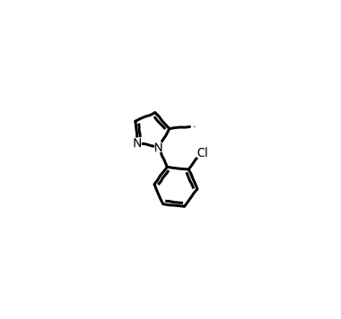 [CH2]c1ccnn1-c1ccccc1Cl